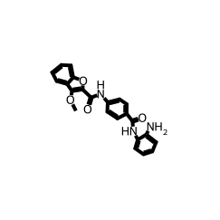 COc1c(C(=O)Nc2ccc(C(=O)Nc3ccccc3N)cc2)oc2ccccc12